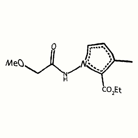 CCOC(=O)c1c(C)ccn1NC(=O)COC